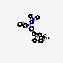 CC1(C)c2cccc3c2-c2c1ccc1c4cc(-c5ccc(N(c6ccc7c(c6)sc6ccccc67)c6ccc7c(c6)c6ccccc6n7-c6ccccc6)cc5)ccc4n(c21)-c1ccccc1-3